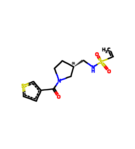 C=CS(=O)(=O)NC[C@H]1CCN(C(=O)c2ccsc2)C1